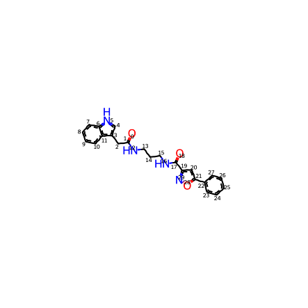 O=C(Cc1c[nH]c2ccccc12)NCCCNC(=O)c1cc(-c2ccccc2)on1